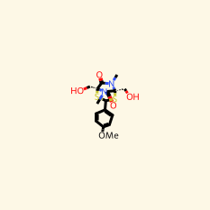 COc1ccc(C2S[C@@]3(CO)C(=O)N(C)[C@@](CO)(S2)C(=O)N3C)cc1